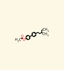 CCC(C)CCc1ccc(-c2ccc(OC(C)=O)cc2)cc1